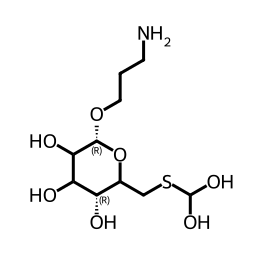 NCCCO[C@@H]1OC(CSC(O)O)[C@H](O)C(O)C1O